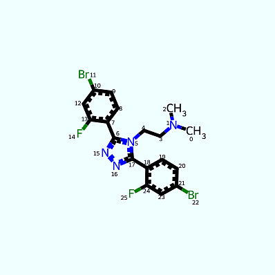 CN(C)CCn1c(-c2ccc(Br)cc2F)nnc1-c1ccc(Br)cc1F